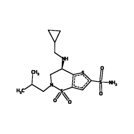 CC(C)CN1C[C@@H](NCC2CC2)c2sc(S(N)(=O)=O)cc2S1(=O)=O